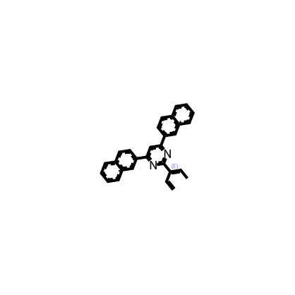 C=C/C(=C\C)c1nc(-c2ccc3ccccc3c2)cc(-c2ccc3ccccc3c2)n1